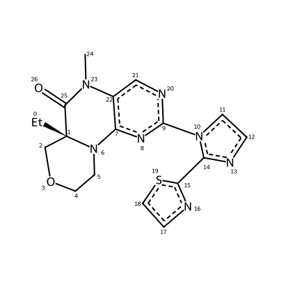 CC[C@]12COCCN1c1nc(-n3ccnc3-c3nccs3)ncc1N(C)C2=O